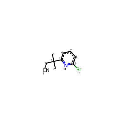 CC(C)(CC#N)c1cccc(Br)n1